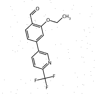 CCOc1cc(-c2ccc(C(F)(F)F)nc2)ccc1C=O